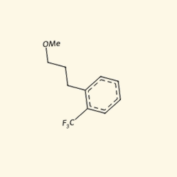 COCCCc1ccccc1C(F)(F)F